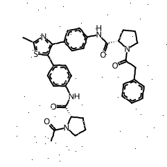 CC(=O)N1CCC[C@H]1C(=O)Nc1ccc(-c2sc(C)nc2-c2ccc(NC(=O)[C@@H]3CCCN3C(=O)Cc3ccccc3)cc2)cc1